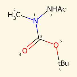 CC(=O)[N]N(C)C(=O)OC(C)(C)C